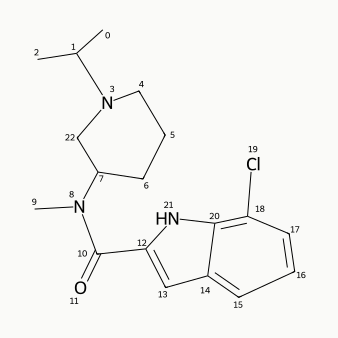 CC(C)N1CCCC(N(C)C(=O)c2cc3cccc(Cl)c3[nH]2)C1